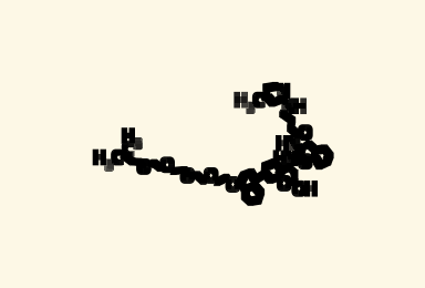 Cc1ccnc(NCCCC(=O)N[C@@H](Cc2ccccc2)C(=O)N[C@@H](CC(=O)O)c2ccc(-c3ccc(OCCOCCOCCOCCOCCC(C)C)c4ccccc34)cc2)c1